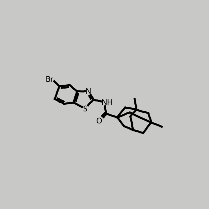 CC12CC3CC(C)(C1)CC(C(=O)Nc1nc4cc(Br)ccc4s1)(C3)C2